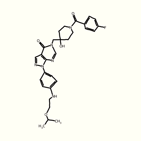 CC(C)OCCNc1ccc(-n2ncc3c(=O)n(CC4(O)CCN(C(=O)c5ccc(F)cc5)CC4)cnc32)cc1